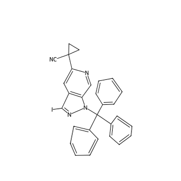 N#CC1(c2cc3c(I)nn(C(c4ccccc4)(c4ccccc4)c4ccccc4)c3cn2)CC1